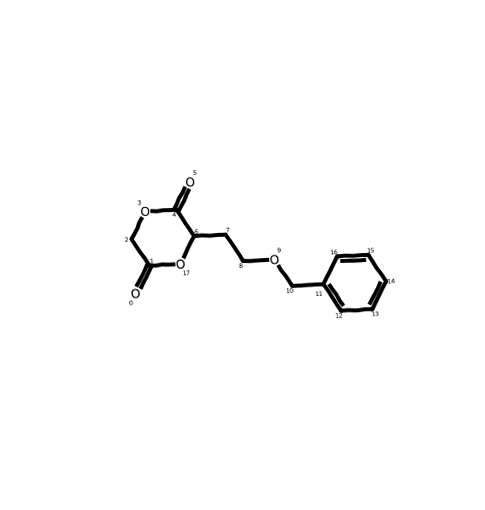 O=C1COC(=O)C(CCOCc2ccccc2)O1